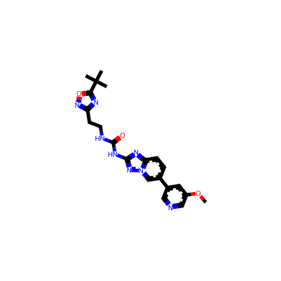 COc1cncc(-c2ccc3nc(NC(=O)NCCc4noc(C(C)(C)C)n4)nn3c2)c1